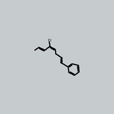 CC=CC(=CCC=Cc1ccccc1)CC